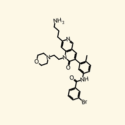 Cc1ccc(NC(=O)c2cccc(Br)c2)cc1-c1cc2cnc(CCCN)cc2n(CCN2CCOCC2)c1=O